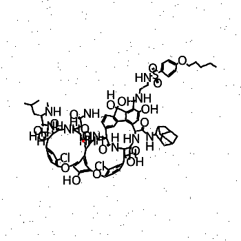 CCCCCOc1ccc(S(=O)(=O)NCCNCc2c(O)cc3c4c2C(O)(O)c2ccc(cc2-4)[C@H]2NC(=O)[C@@H]4NC(=O)[C@H](CC(N)=O)NC(=O)[C@H](NC(=O)[C@@H](CC(C)C)NC)[C@H](O)c5ccc(c(Cl)c5)Oc5cc4cc(c5O)Oc4ccc(cc4Cl)[C@@H](O)[C@H](NC2=O)C(=O)N[C@@H]3C(=O)NC2C3CC4CC(C3)CC2C4)cc1